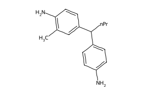 CCCC(c1ccc(N)cc1)c1ccc(N)c(C)c1